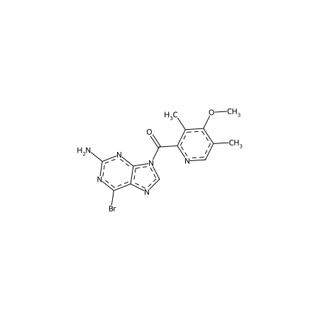 COc1c(C)cnc(C(=O)n2cnc3c(Br)nc(N)nc32)c1C